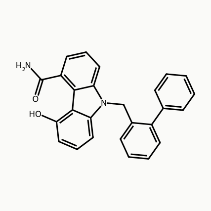 NC(=O)c1cccc2c1c1c(O)cccc1n2Cc1ccccc1-c1ccccc1